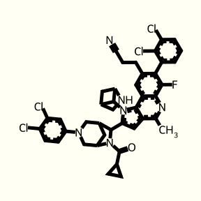 Cc1nc2c(F)c(-c3cccc(Cl)c3Cl)c(CCC#N)cc2c2c1cc(C1C3CC(CN(c4ccc(Cl)c(Cl)c4)C3)N1C(=O)C1CC1)n2C1C2CNC1C2